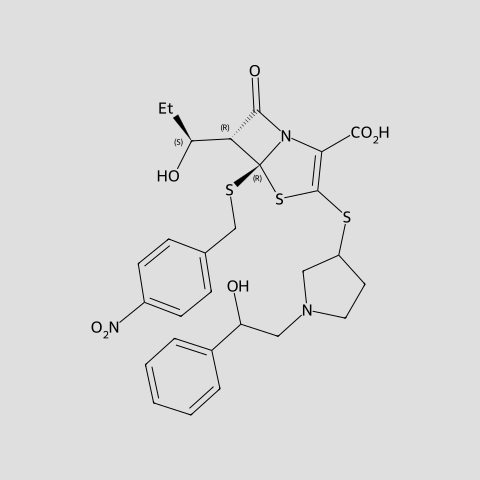 CC[C@H](O)[C@@H]1C(=O)N2C(C(=O)O)=C(SC3CCN(CC(O)c4ccccc4)C3)S[C@]12SCc1ccc([N+](=O)[O-])cc1